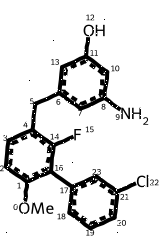 COc1ccc(Cc2cc(N)cc(O)c2)c(F)c1-c1cccc(Cl)c1